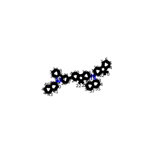 CC1(C)c2ccccc2-c2ccc(N(c3ccc4c(c3)C(C)(C)c3cc(-c5ccc6c(c5)c5ccccc5n6-c5ccc6ccccc6c5)ccc3-4)c3cccc4ccccc34)cc21